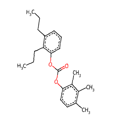 CCCc1cccc(OC(=O)Oc2ccc(C)c(C)c2C)c1CCC